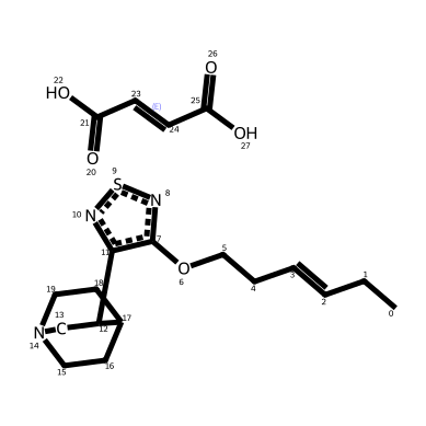 CCC=CCCOc1nsnc1C1CN2CCC1CC2.O=C(O)/C=C/C(=O)O